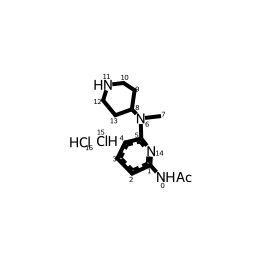 CC(=O)Nc1cccc(N(C)C2CCNCC2)n1.Cl.Cl